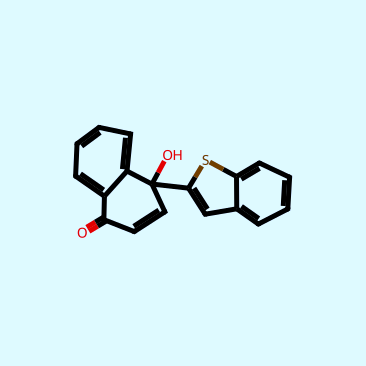 O=C1C=CC(O)(c2cc3ccccc3s2)c2ccccc21